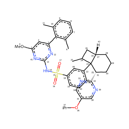 COc1cc(-c2c(C)cccc2C)nc(NS(=O)(=O)c2cccc(C34C(C)C[C@@H]3CCC[C@@H]4c3ncc(OC(C)C)cn3)c2)n1